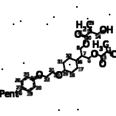 C=C(C)C(=O)OCC(COC(=O)C(=C)CO)C1CCC(OCCOc2ccc(CCCCC)cc2)CC1